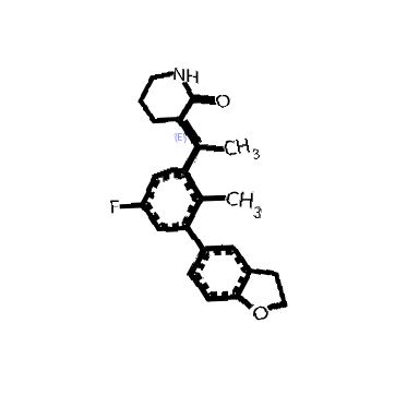 C/C(=C1/CCCNC1=O)c1cc(F)cc(-c2ccc3c(c2)CCO3)c1C